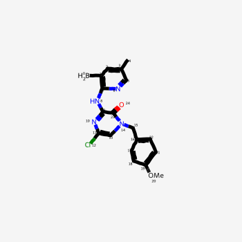 Bc1cc(C)cnc1Nc1nc(Cl)cn(Cc2ccc(OC)cc2)c1=O